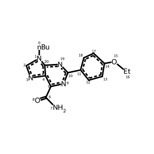 CCCCn1cnc2c(C(N)=O)nc(-c3ccc(OCC)cc3)nc21